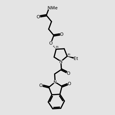 CC[C@@H]1C[C@@H](OC(=O)CCC(=O)NC)CN1C(=O)CN1C(=O)c2ccccc2C1=O